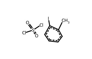 Cc1ccccc1I.O=S(=O)(Cl)Cl